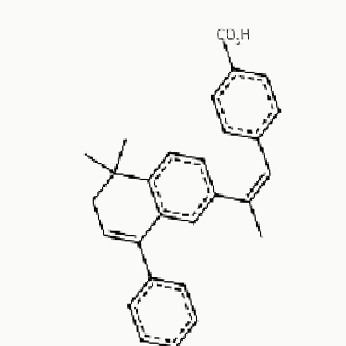 C/C(=C/c1ccc(C(=O)O)cc1)c1ccc2c(c1)C(c1ccccc1)=CCC2(C)C